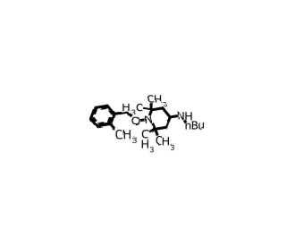 CCCCNC1CC(C)(C)N(OCc2ccccc2C)C(C)(C)C1